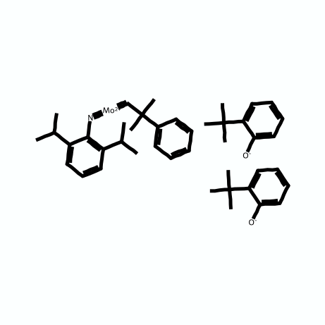 CC(C)(C)c1ccccc1[O-].CC(C)(C)c1ccccc1[O-].CC(C)c1cccc(C(C)C)c1[N]=[Mo+2]=[CH]C(C)(C)c1ccccc1